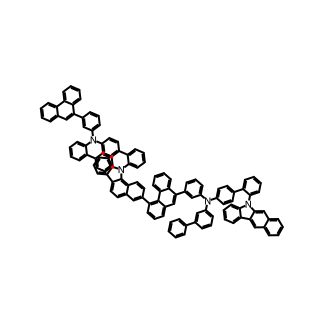 c1ccc(-c2cccc(N(c3ccc(-c4ccccc4-n4c5ccccc5c5cc6ccccc6cc54)cc3)c3cccc(-c4cc5cccc(-c6ccc7c(ccc8c9ccccc9n(-c9ccccc9-c9ccc(N(c%10cccc(-c%11cc%12ccccc%12c%12ccccc%11%12)c%10)c%10ccccc%10-c%10ccccc%10)cc9)c78)c6)c5c5ccccc45)c3)c2)cc1